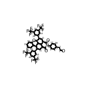 O=CCc1ccc(-n2c(=O)c3cc(-c4cc(C(F)(F)F)cc(C(F)(F)F)c4)c4oc5ccccc5c5c(-c6cc(C(F)(F)F)cc(C(F)(F)F)c6)cc(c2=O)c3c45)cc1